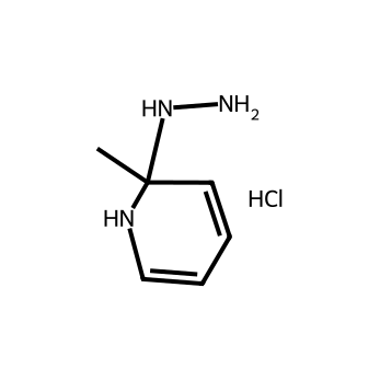 CC1(NN)C=CC=CN1.Cl